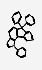 c1ccc(-n2ccc3ccc4c(c32)-c2ccccc2C4(c2ccccc2)c2ccccc2)cc1